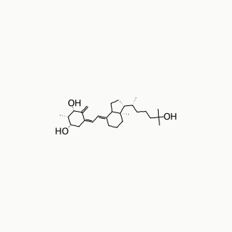 C=C1/C(=C\C=C2CCC[C@@]3(C)C2CC[C@@H]3[C@H](C)CCCC(C)(C)O)C[C@H](O)[C@H](C)[C@@H]1O